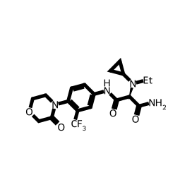 CCN(C1CC1)[C@@H](C(N)=O)C(=O)Nc1ccc(N2CCOCC2=O)c(C(F)(F)F)c1